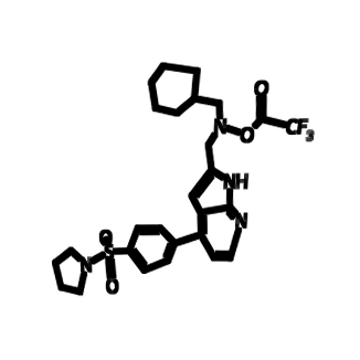 O=C(ON(Cc1cc2c(-c3ccc(S(=O)(=O)N4CCCC4)cc3)ccnc2[nH]1)CC1CCCCC1)C(F)(F)F